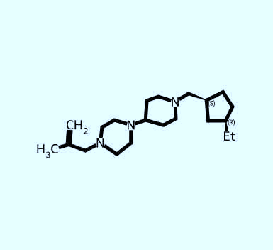 C=C(C)CN1CCN(C2CCN(C[C@H]3CC[C@@H](CC)C3)CC2)CC1